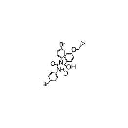 O=C1N(c2ccc(Br)cc2)C(=O)C(O)(c2ccc(OCC3CC3)cc2)N1c1ccc(Br)cc1